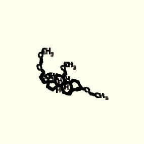 CCOC1=CC2=CC[C@@H]3[C@H](/C(=C/OC)C[C@@]4(C)[C@H]3CC[C@@]4(O)/C=C\COCOC)[C@H]2CC1